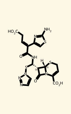 Nc1nc(C(=CCC(=O)O)C(=O)NC(Sn2ccnn2)[C@H]2C(=O)N3C(C(=O)O)=CCS[C@@H]23)cs1